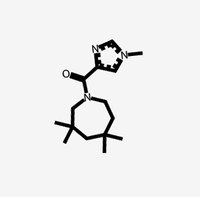 Cn1cnc(C(=O)N2CCC(C)(C)CC(C)(C)C2)c1